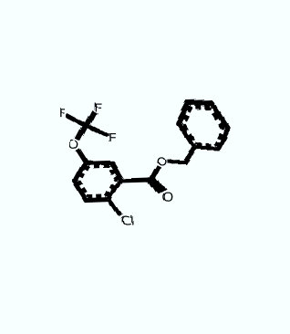 O=C(OCc1ccccc1)c1cc(OC(F)(F)F)ccc1Cl